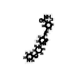 NC(=O)c1cccc(C#Cc2ccc(N3CCC(Oc4cccnc4)CC3)nn2)c1